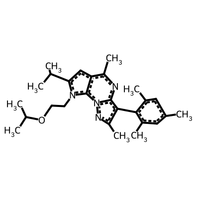 Cc1cc(C)c(-c2c(C)nn3c2nc(C)c2cc(C(C)C)n(CCOC(C)C)c23)c(C)c1